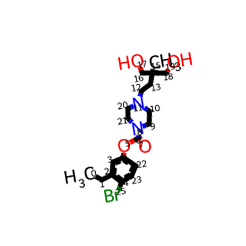 CCc1cc(OC(=O)N2CCN(CCC(C)(CO)CO)CC2)ccc1Br